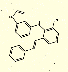 N#Cc1cncc(/C=C/c2ccccc2)c1Nc1cccc2[nH]ccc12